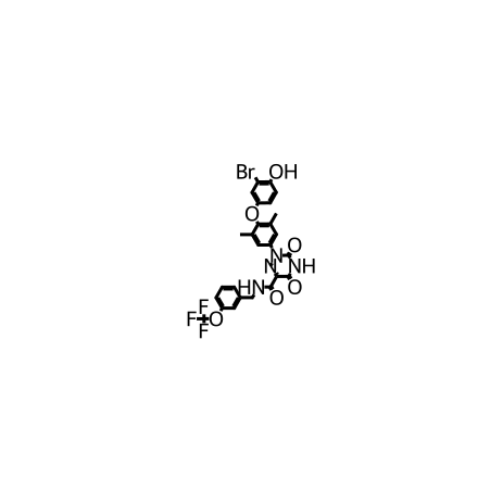 Cc1cc(-n2nc(C(=O)NCc3cccc(OC(F)(F)F)c3)c(=O)[nH]c2=O)cc(C)c1Oc1ccc(O)c(Br)c1